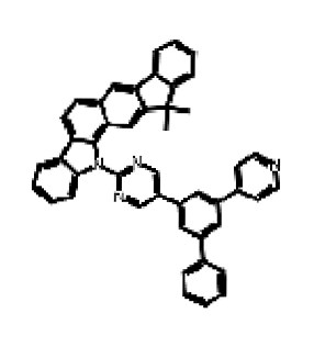 CC1(C)c2ccccc2-c2cc3ccc4c5ccccc5n(-c5ncc(-c6cc(-c7ccccc7)cc(-c7ccncc7)c6)cn5)c4c3cc21